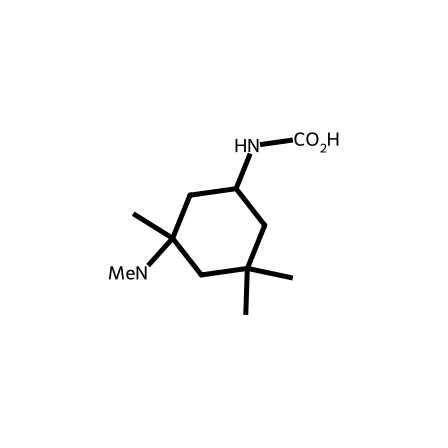 CNC1(C)CC(NC(=O)O)CC(C)(C)C1